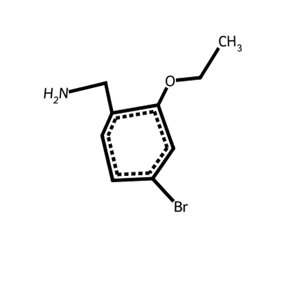 CCOc1cc(Br)ccc1CN